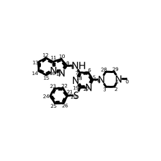 CN1CCN(c2cc(Nc3cc4ccccn4n3)nc(Sc3ccccc3)n2)CC1